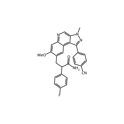 COc1cc2ncc3c(c(-c4ccc(C#N)cc4)nn3C)c2cc1CC(C(N)=O)c1ccc(F)cc1